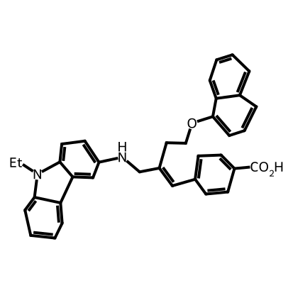 CCn1c2ccccc2c2cc(NCC(=Cc3ccc(C(=O)O)cc3)CCOc3cccc4ccccc34)ccc21